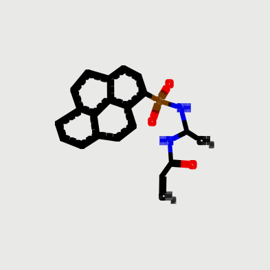 C=CC(=O)NC(C)NS(=O)(=O)c1ccc2ccc3cccc4ccc1c2c34